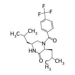 CC(C)C[C@H]1CN(C(=O)c2ccc(C(F)(F)F)cc2)[C@@H](CC(C)C)C(=O)N1